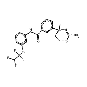 CC1(c2cccc(C(=O)Nc3cccc(OC(F)(F)C(F)F)c3)c2)CCSC(N)=N1